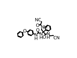 N#CCCNC(=O)C(CNC(=O)CC#N)(NC(=O)Nc1ccc(Oc2ccccc2)cc1)c1ccccc1